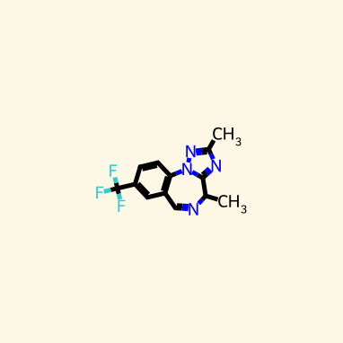 Cc1nc2n(n1)-c1ccc(C(F)(F)F)cc1C=NC2C